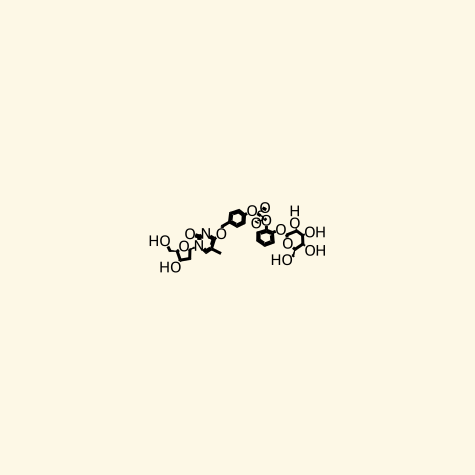 Cc1cn([C@H]2CC(O)[C@@H](CO)O2)c(=O)nc1OCc1ccc(OS(=O)(=O)Oc2ccccc2OC2O[C@H](CO)[C@H](O)[C@H](O)[C@H]2O)cc1